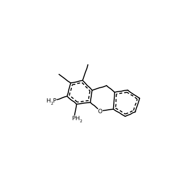 Cc1c(C)c2c(c(P)c1P)Oc1ccccc1C2